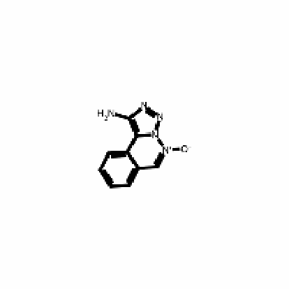 Nc1nnn2c1c1ccccc1c[n+]2[O-]